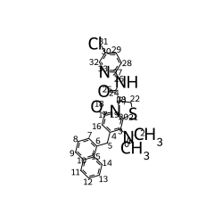 CN(C)c1c(Cc2cccc3ccccc23)cc(=O)n2c1SC[C@H]2C(=O)Nc1ccc(Cl)cn1